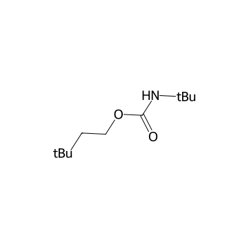 CC(C)(C)CCOC(=O)NC(C)(C)C